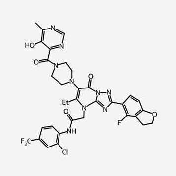 CCc1c(N2CCN(C(=O)c3ncnc(C)c3O)CC2)c(=O)n2nc(-c3ccc4c(c3F)CCO4)nc2n1CC(=O)Nc1ccc(C(F)(F)F)cc1Cl